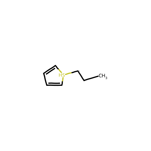 CC[CH][SH]1C=CC=C1